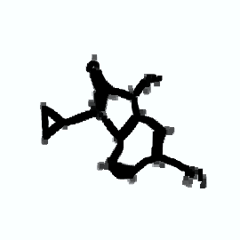 CC(C)n1c(=O)n(C2CC2)c2ncc(N)cc21